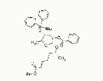 CC(C)OC(=O)/C=C/CC[C@@H](C)O[C@@H]1O[C@@H](C)[C@H](O[Si](c2ccccc2)(c2ccccc2)C(C)(C)C)C[C@H]1OC(=O)c1ccccc1